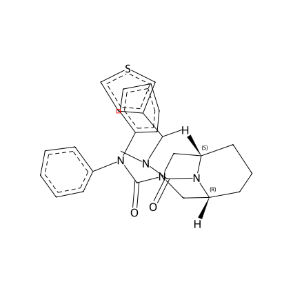 CC(c1ccsc1)N(C)C(=O)N1[C@@H]2CCC[C@H]1CN(C(=O)N(c1ccccc1)c1ccccc1)C2